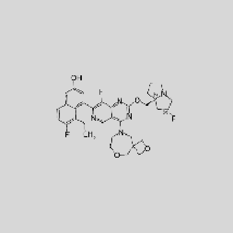 CCc1c(F)ccc2cc(O)cc(-c3ncc4c(N5CCOCC6(COC6)C5)nc(OC[C@@]56CCCN5C[C@H](F)C6)nc4c3F)c12